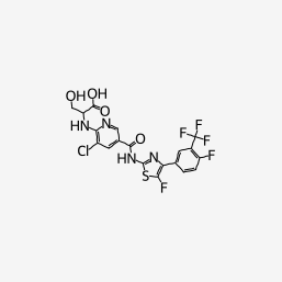 O=C(Nc1nc(-c2ccc(F)c(C(F)(F)F)c2)c(F)s1)c1cnc(NC(CO)C(=O)O)c(Cl)c1